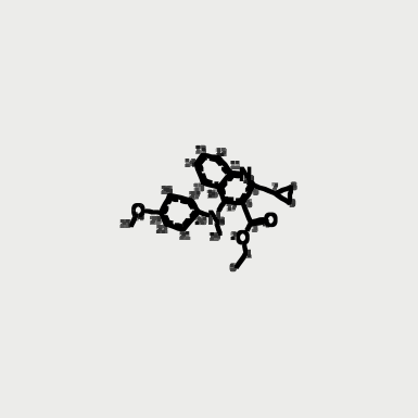 CCOC(=O)c1c(C2CC2)nc2ccccc2c1N(C)c1ccc(OC)cc1